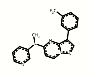 CN(c1cccnc1)c1ccn2ncc(-c3cccc(C(F)(F)F)c3)c2n1